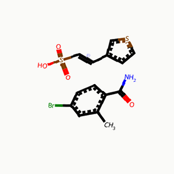 Cc1cc(Br)ccc1C(N)=O.O=S(=O)(O)/C=C/c1ccsc1